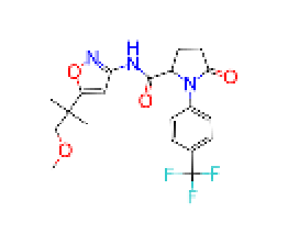 COCC(C)(C)c1cc(NC(=O)C2CCC(=O)N2c2ccc(C(F)(F)F)cc2)no1